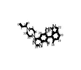 C=CC(C)N1CCN(c2ncnc3c(F)c(-c4c(C)ccc5cn[nH]c45)c(Cl)cc23)CC1